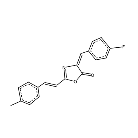 Cc1ccc(C=CC2=NC(=Cc3ccc(F)cc3)C(=O)O2)cc1